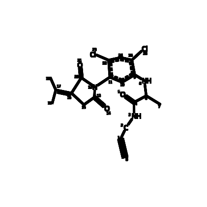 C#CCNC(=O)C(C)Nc1cc(N2C(=O)CC(=C(C)C)C2=O)c(Cl)cc1Cl